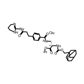 CC(C)OC(=O)[C@H](CNC(=O)c1ccc(CCC(=O)NC2=NCCCN2)cc1)NC(=O)OCC12CC3CC(CC(C3)C1)C2.Cl